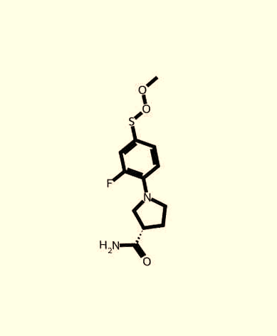 COOSc1ccc(N2CC[C@H](C(N)=O)C2)c(F)c1